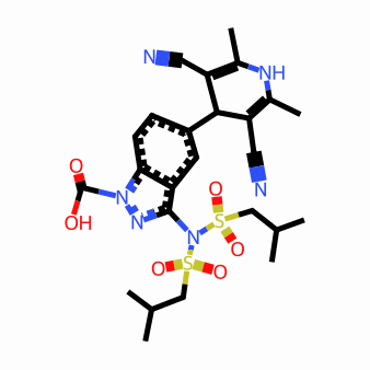 CC1=C(C#N)C(c2ccc3c(c2)c(N(S(=O)(=O)CC(C)C)S(=O)(=O)CC(C)C)nn3C(=O)O)C(C#N)=C(C)N1